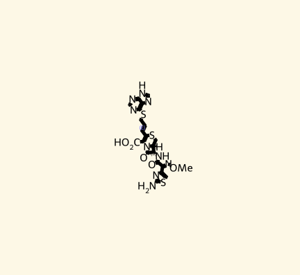 CON=C(C(=O)N[C@@H]1C(=O)N2C(C(=O)O)=C(/C=C/CSc3ncnc4[nH]cnc34)SC[C@H]12)c1csc(N)n1